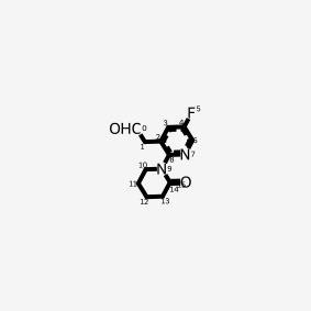 O=CCc1cc(F)cnc1N1CCCCC1=O